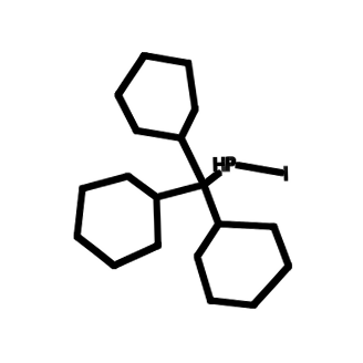 IPC(C1CCCCC1)(C1CCCCC1)C1CCCCC1